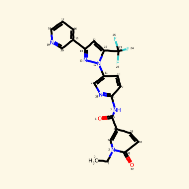 CCn1cc(C(=O)Nc2ccc(-n3nc(-c4cccnc4)cc3C(F)(F)F)cn2)ccc1=O